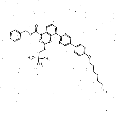 CCCCCCCOc1ccc(-c2cnc(-c3cccc(NC(=O)OCc4ccccc4)c3OC(=O)CCC(C)(C)C)nc2)cc1